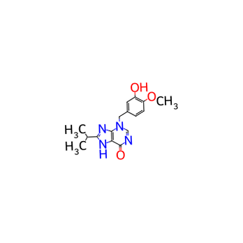 COc1ccc(Cn2cnc(=O)c3[nH]c(C(C)C)nc32)cc1O